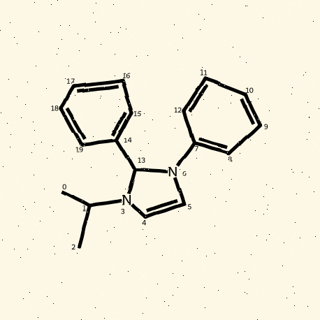 CC(C)N1C=CN(c2ccccc2)C1c1ccccc1